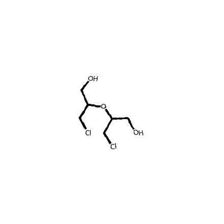 OCC(CCl)OC(CO)CCl